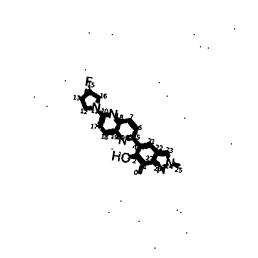 Cc1c(O)c(-c2ccc3nc(N4CC[C@H](F)C4)ccc3n2)cc2cn(C)nc12